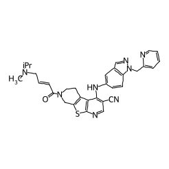 CC(C)N(C)C/C=C/C(=O)N1CCc2c(sc3ncc(C#N)c(Nc4ccc5c(cnn5Cc5ccccn5)c4)c23)C1